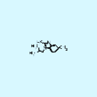 CC(C)Cn1c(S)nc2c1=CCC(C)C=2